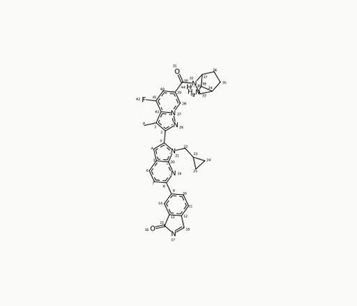 Cc1c(-c2cc3ccc(-c4ccc5c(c4)C(=O)N=C5)nc3n2CC2CC2)nn2cc(C(=O)N3CC4CCC3[C@@H]4N)cc(F)c12